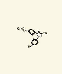 CC(C)(C)C1=NN(c2ccc(OC=O)cc2)C(c2ccc(Br)cc2)C1